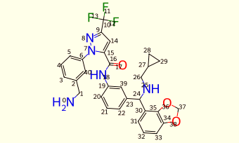 NCc1cccc(-n2nc(C(F)(F)F)cc2C(=O)Nc2cccc(C(NCC3CC3)c3cccc4c3OCO4)c2)c1